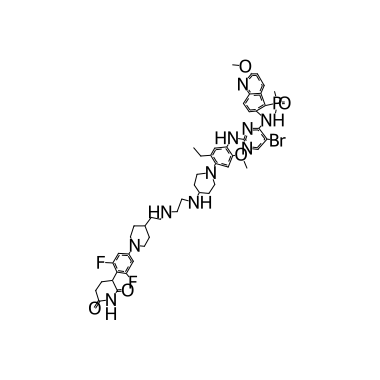 CCc1cc(Nc2ncc(Br)c(Nc3ccc4nc(OC)ccc4c3P(C)(C)=O)n2)c(OC)cc1N1CCC(NCCNCCC2CCN(c3cc(F)c(C4CCC(=O)NC4=O)c(F)c3)CC2)CC1